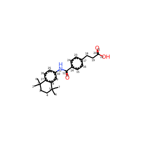 CC1(C)CCC(C)(C)c2cc(NC(=O)c3ccc(CCC(=O)O)cc3)ccc21